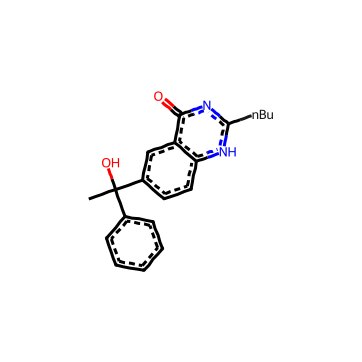 CCCCc1nc(=O)c2cc(C(C)(O)c3ccccc3)ccc2[nH]1